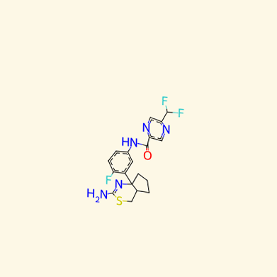 NC1=NC2(c3cc(NC(=O)c4cnc(C(F)F)cn4)ccc3F)CCCC2CS1